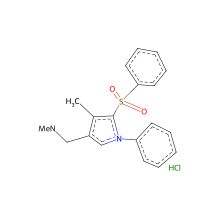 CNCc1cn(-c2ccccc2)c(S(=O)(=O)c2ccccc2)c1C.Cl